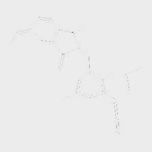 C/C=C1/C=CC2=C(C1)C(=O)/C(=C\c1cc(C(C)(C)C)cc(N=[N+]=[N-])c1O[SiH](C)C)C2=O